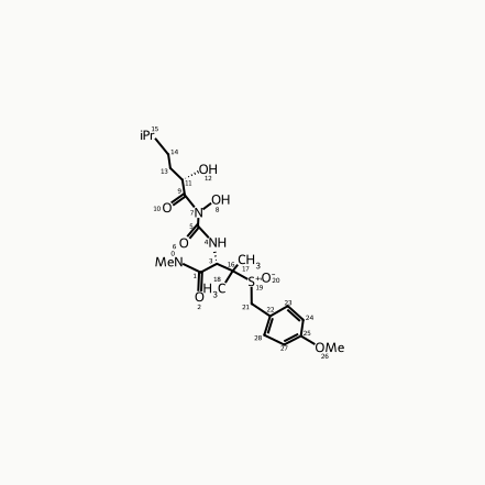 CNC(=O)[C@H](NC(=O)N(O)C(=O)[C@@H](O)CCC(C)C)C(C)(C)[S+]([O-])Cc1ccc(OC)cc1